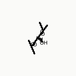 CCCCCCCCC(CCCCCC)COC(=O)CCCCCN(CCCCCC(=O)OCC(CCCCCC)CCCCCCCC)CCN(C)CCO